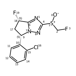 [O-][S+](CF)c1nc2n(n1)[C@H](c1ccccc1Cl)C[C@@H]2F